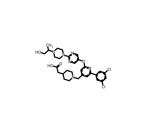 CC(CO)N1CCN(c2ncc(Oc3cc(CN4CCC(CC(=O)O)CC4)cc(-c4cc(Cl)cc(Cl)c4)n3)cn2)CC1